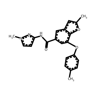 Cc1ccc(Oc2cc(C(=O)Nc3ccn(C)n3)cc3cc(C)oc23)cc1